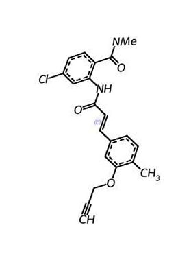 C#CCOc1cc(/C=C/C(=O)Nc2cc(Cl)ccc2C(=O)NC)ccc1C